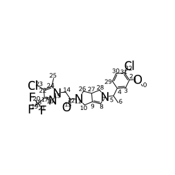 COc1cc(C(C)N2C=C3CN(C(=O)Cn4nc(C(F)(F)F)c(Cl)c4C)CC3C2)ccc1Cl